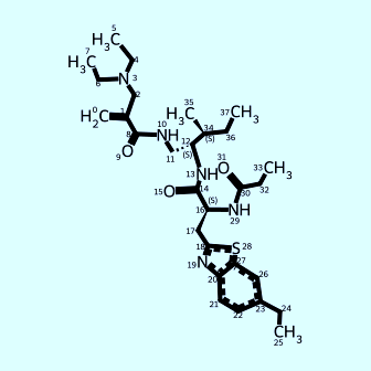 C=C(CN(CC)CC)C(=O)NC[C@@H](NC(=O)[C@H](Cc1nc2ccc(CC)cc2s1)NC(=O)CC)[C@@H](C)CC